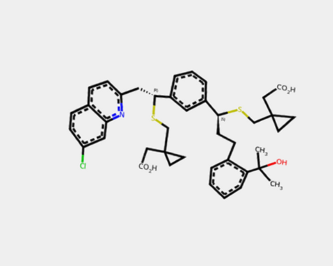 CC(C)(O)c1ccccc1CC[C@H](SCC1(CC(=O)O)CC1)c1cccc([C@@H](Cc2ccc3ccc(Cl)cc3n2)SCC2(CC(=O)O)CC2)c1